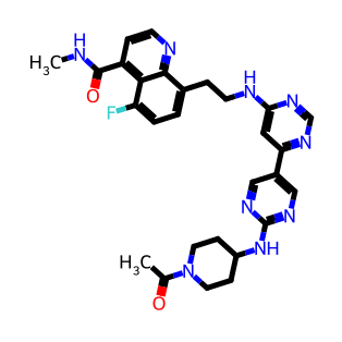 CNC(=O)c1ccnc2c(CCNc3cc(-c4cnc(NC5CCN(C(C)=O)CC5)nc4)ncn3)ccc(F)c12